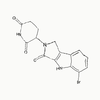 O=C1CCC(N2Cc3c([nH]c4c(Br)cccc34)C2=O)C(=O)N1